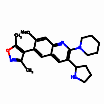 COc1cc2nc(N3CCCCC3)c(C3CCCN3)cc2cc1-c1c(C)noc1C